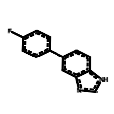 Fc1ccc(-c2ccc3[nH][c]nc3c2)cc1